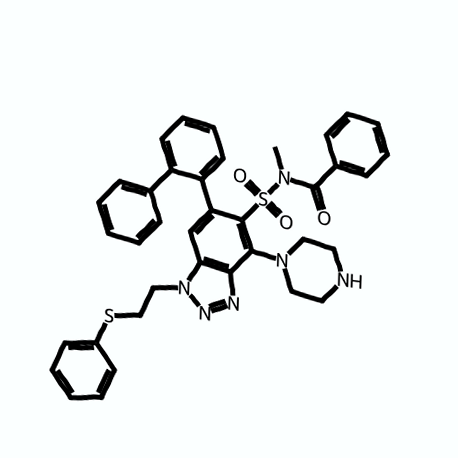 CN(C(=O)c1ccccc1)S(=O)(=O)c1c(-c2ccccc2-c2ccccc2)cc2c(nnn2CCSc2ccccc2)c1N1CCNCC1